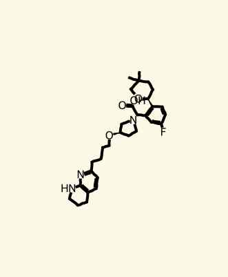 CC1(C)CC[C@@H](c2ccc(F)cc2[C@@H](C(=O)O)N2CC[C@@H](OCCCCc3ccc4c(n3)NCCC4)C2)OC1